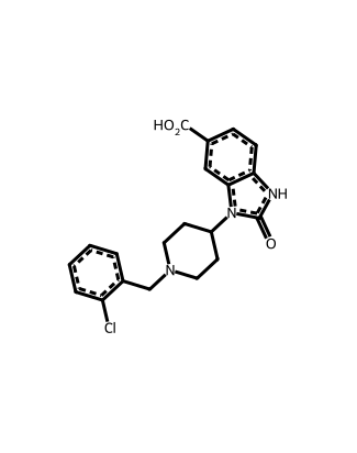 O=C(O)c1ccc2[nH]c(=O)n(C3CCN(Cc4ccccc4Cl)CC3)c2c1